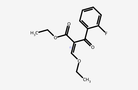 CCO/C=C(/C(=O)OCC)C(=O)c1ccccc1F